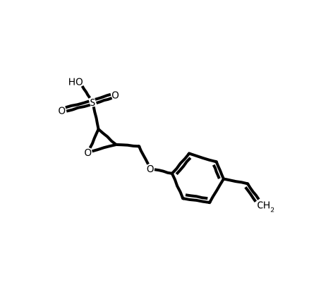 C=Cc1ccc(OCC2OC2S(=O)(=O)O)cc1